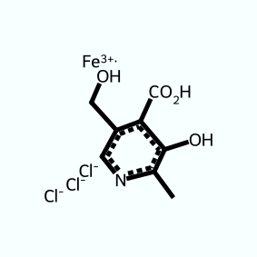 Cc1ncc(CO)c(C(=O)O)c1O.[Cl-].[Cl-].[Cl-].[Fe+3]